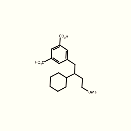 COCCC(Cc1cc(C(=O)O)cc(C(=O)O)c1)C1CCCCC1